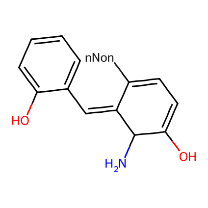 CCCCCCCCCC1=CC=C(O)C(N)C1=Cc1ccccc1O